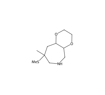 CSC1(C)CNCC2OCCOC2C1